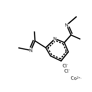 CN=C(C)c1cccc(C(C)=NC)n1.[Cl-].[Cl-].[Co+2]